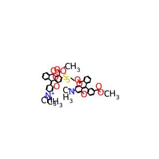 CC/N=c1\ccc2c(-c3ccccc3C(=O)OCCSSCCOC(=O)c3ccccc3-c3c4ccc(=[N+](CC)CC)cc-4oc4ccc(C(=O)OCC)cc34)c3cc(C(=O)OCC)ccc3oc-2c1